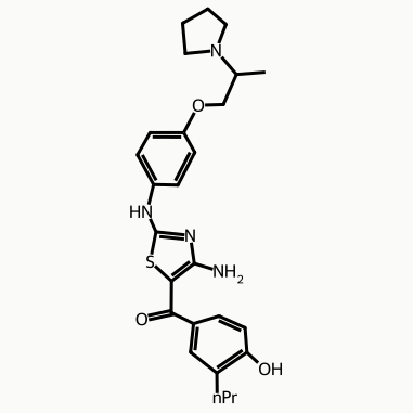 CCCc1cc(C(=O)c2sc(Nc3ccc(OCC(C)N4CCCC4)cc3)nc2N)ccc1O